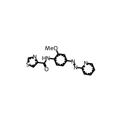 COc1cc(/N=N/c2ccccn2)ccc1NC(=O)c1cscn1